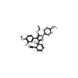 CCOc1c(-c2ccc(OC)c(F)c2)c(C2(F)C=CC=CC2C#N)nn1C1CCC(N)CC1